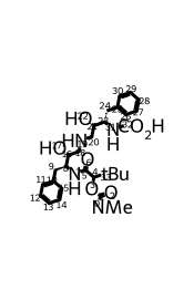 CNC(=O)OC(C(=O)N[C@@H](Cc1ccccc1)C(O)CNC[C@@H](O)[C@H](Cc1ccccc1)NC(=O)O)C(C)(C)C